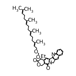 CC[C@@]1(OCOC/C=C(\C)CC/C=C(\C)CC/C=C(\C)CCC=C(C)C)C(=O)OCc2c1cc1n(c2=O)Cc2cc3ccccc3nc2-1